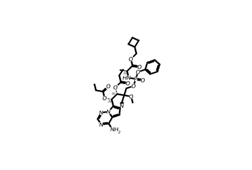 CCC(=O)O[C@@H](c1ccc2c(N)ncnn12)[C@H](OC(=O)CC)C(C#N)(COP(=O)(N[C@@H](C)C(=O)OCC1CCC1)Oc1ccccc1)OC